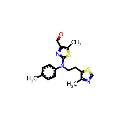 Cc1ccc(N(CCc2scnc2C)c2nc(C=O)c(C)s2)cc1